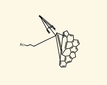 CC(=O)CCCC1(c2ccccc2)c2c3ccc4cc5c6c7c(cc8ccc9cc%10c%11c(c1c(c6c24)c1c%11c9c8c71)C(=C3)C%10)C5